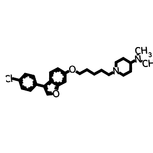 CN(C)C1CCN(CCCCCOc2ccc3c(-c4ccc(Cl)cc4)coc3c2)CC1